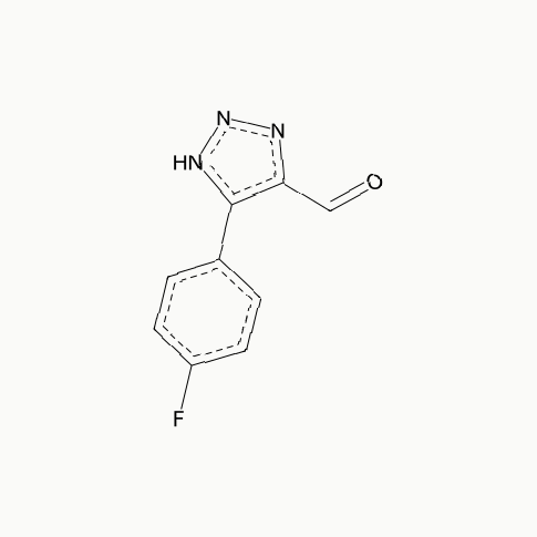 O=Cc1nn[nH]c1-c1ccc(F)cc1